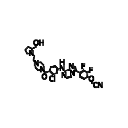 N#CCOc1ccc(-c2cnc3c(Nc4ccc(C(=O)N5CCN(CCN6CCCC6CO)CC5)c(Cl)c4)nccn23)c(F)c1F